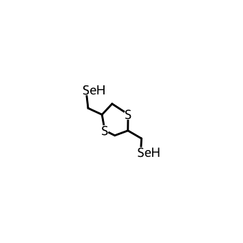 [SeH]CC1CSC(C[SeH])CS1